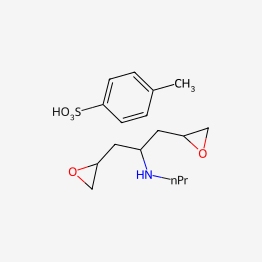 CCCNC(CC1CO1)CC1CO1.Cc1ccc(S(=O)(=O)O)cc1